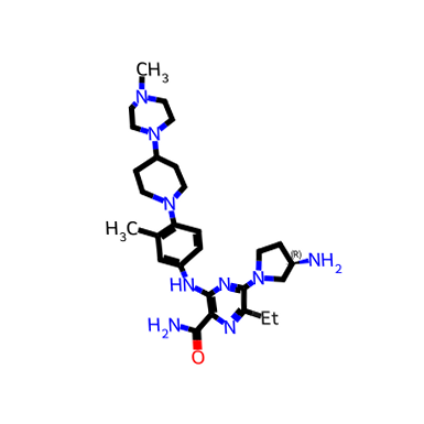 CCc1nc(C(N)=O)c(Nc2ccc(N3CCC(N4CCN(C)CC4)CC3)c(C)c2)nc1N1CC[C@@H](N)C1